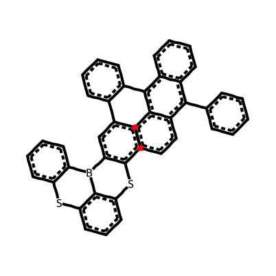 c1ccc(-c2c3ccccc3c(-c3ccccc3-c3ccc4c(c3)B3c5ccccc5Sc5cccc(c53)S4)c3ccccc23)cc1